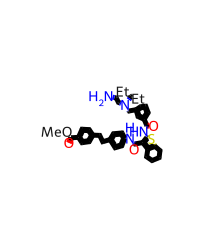 CCC(CC)N(CCN)Cc1cccc(C(=O)Nc2sc3c(c2C(=O)Nc2ccc(CCc4ccc(C(=O)OC)cc4)cc2)CCCC3)c1